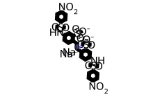 O=[N+]([O-])c1ccc(S(=O)(=O)Nc2ccc(/C=C/c3ccc(NS(=O)(=O)c4ccc([N+](=O)[O-])cc4)cc3S(=O)(=O)[O-])c(S(=O)(=O)[O-])c2)cc1.[Na+].[Na+]